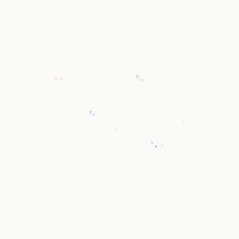 CC(=O)c1cc(Br)c(N)c(Br)c1.CCN(CCO)c1ccccc1